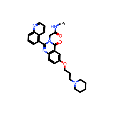 CC(C)NC(=O)Cn1c(-c2cccc3ncccc23)nc2ccc(OCCCN3CCCCC3)cc2c1=O